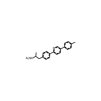 CC(=O)NC(C)Cc1ccc(-c2ccc(-c3ccc(C)cc3)cn2)cc1